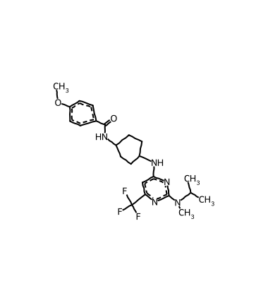 COc1ccc(C(=O)NC2CCC(Nc3cc(C(F)(F)F)nc(N(C)C(C)C)n3)CC2)cc1